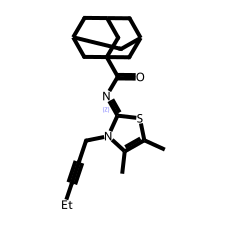 CCC#CCn1c(C)c(C)s/c1=N\C(=O)C12CC3CC(CC(C3)C1)C2